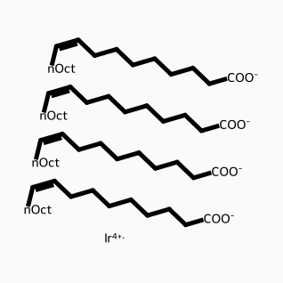 CCCCCCCC/C=C\CCCCCCCC(=O)[O-].CCCCCCCC/C=C\CCCCCCCC(=O)[O-].CCCCCCCC/C=C\CCCCCCCC(=O)[O-].CCCCCCCC/C=C\CCCCCCCC(=O)[O-].[Ir+4]